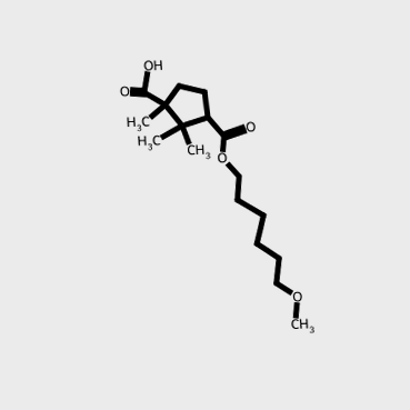 COCCCCCCOC(=O)C1CCC(C)(C(=O)O)C1(C)C